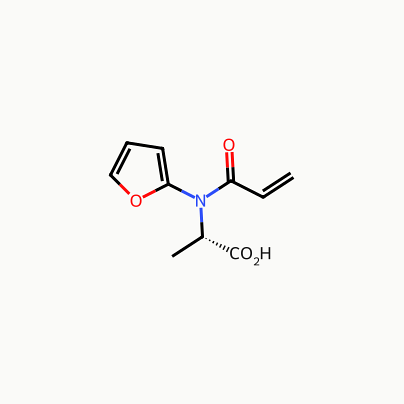 C=CC(=O)N(c1ccco1)[C@@H](C)C(=O)O